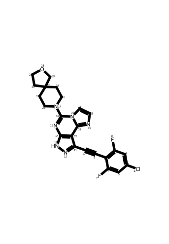 Fc1cc(Cl)cc(F)c1C#Cc1n[nH]c2nc(N3CCC4(CCOC4)CC3)n3ccnc3c12